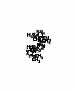 CC(=Nc1c(C)cccc1C(C)C)c1ccnc(C(C)=Nc2c(C)cccc2C(C)C)n1